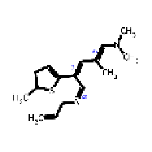 C=CC\N=C/C(=C\C(C)=C\N(C)C)C1=CCC(C)S1